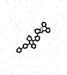 c1ccc(-c2ccc(-c3c4ccccc4c(-c4cccc(-c5cccc6oc(-c7ccccc7-c7ccccc7)cc56)c4)c4ccccc34)cc2)cc1